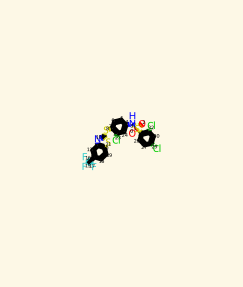 O=S(=O)(Nc1ccc(Sc2nc3cc(C(F)(F)F)ccc3s2)c(Cl)c1)c1ccc(Cl)cc1Cl